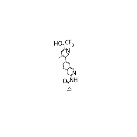 Cc1cc([C@H](O)C(F)(F)F)ncc1-c1ccc2cc(NC(=O)C3CC3)ncc2c1